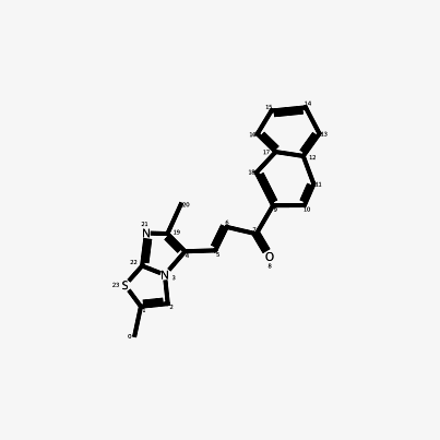 Cc1cn2c(/C=C/C(=O)c3ccc4ccccc4c3)c(C)nc2s1